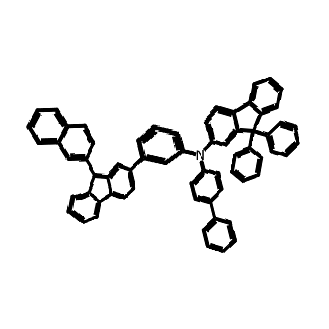 c1ccc(-c2ccc(N(c3cccc(-c4ccc5c(c4)C(c4ccc6ccccc6c4)c4ccccc4-5)c3)c3ccc4c(c3)C(c3ccccc3)(c3ccccc3)c3ccccc3-4)cc2)cc1